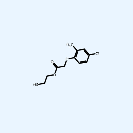 Cc1cc(Cl)ccc1OCC(=O)OCCS